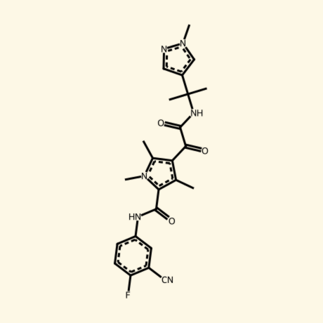 Cc1c(C(=O)C(=O)NC(C)(C)c2cnn(C)c2)c(C)n(C)c1C(=O)Nc1ccc(F)c(C#N)c1